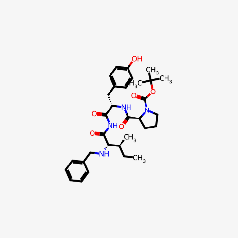 CC[C@H](C)[C@H](NCc1ccccc1)C(=O)NC(=O)[C@H](Cc1ccc(O)cc1)NC(=O)[C@@H]1CCCN1C(=O)OC(C)(C)C